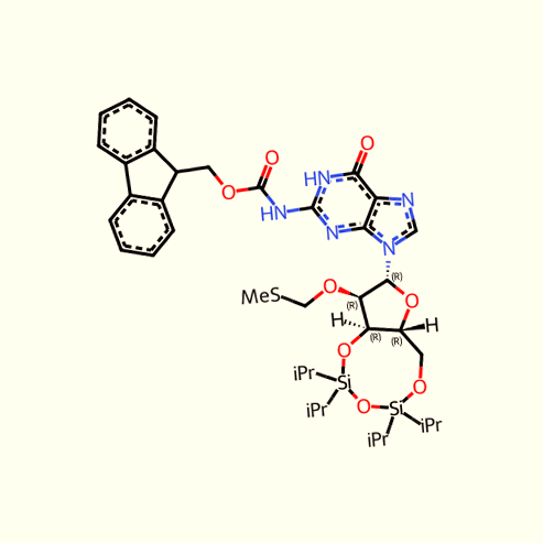 CSCO[C@@H]1[C@@H]2O[Si](C(C)C)(C(C)C)O[Si](C(C)C)(C(C)C)OC[C@H]2O[C@H]1n1cnc2c(=O)[nH]c(NC(=O)OCC3c4ccccc4-c4ccccc43)nc21